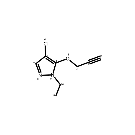 C#CCOc1c(Cl)[c]nn1CC